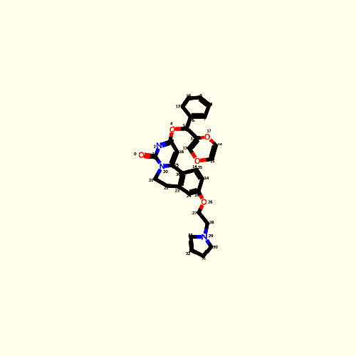 O=c1nc(OC(C2=CC=CCC2)C2=COC=CO2)cc2n1CCc1cc(OCCN3CCCC3)ccc1-2